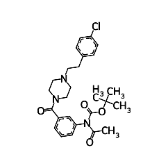 CC(=O)N(C(=O)OC(C)(C)C)c1cccc(C(=O)N2CCN(CCc3ccc(Cl)cc3)CC2)c1